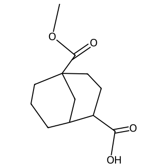 COC(=O)C12CCCC(C1)C(C(=O)O)CC2